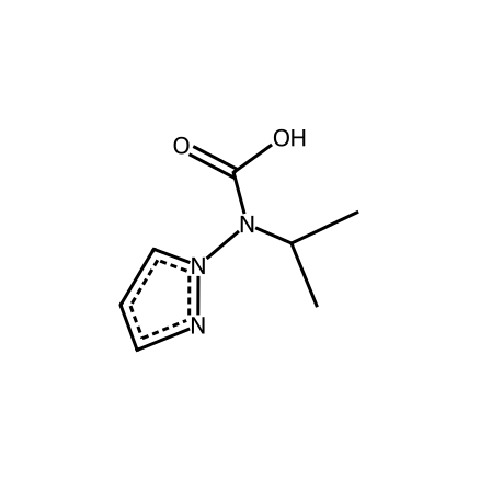 CC(C)N(C(=O)O)n1cccn1